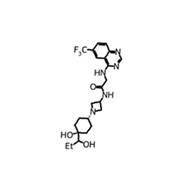 CCC(O)[C@]1(O)CC[C@H](N2CC(NC(=O)CNc3ncnc4ccc(C(F)(F)F)cc34)C2)CC1